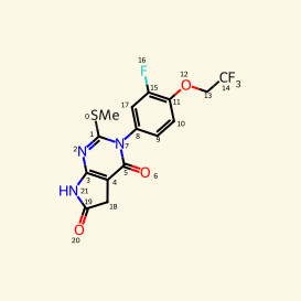 CSc1nc2c(c(=O)n1-c1ccc(OCC(F)(F)F)c(F)c1)CC(=O)N2